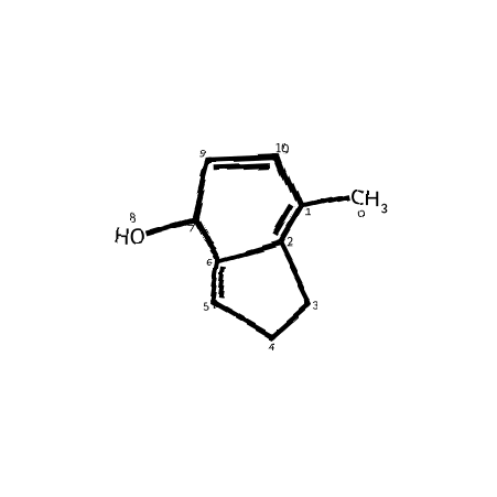 CC1=C2CC[C]=C2C(O)C=C1